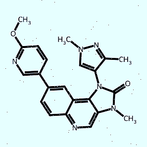 COc1ccc(-c2ccc3ncc4c(c3c2)n(-c2cn(C)nc2C)c(=O)n4C)cn1